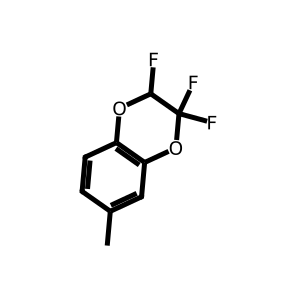 Cc1ccc2c(c1)OC(F)(F)C(F)O2